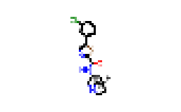 O=C(N[C@@H]1C[C@H]2CCN(C2)C1)c1ncc(-c2cccc(Cl)c2)s1